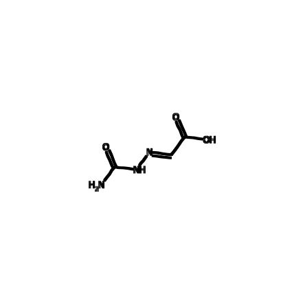 NC(=O)NN=CC(=O)O